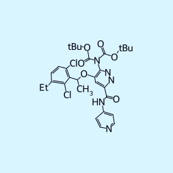 CCc1ccc(Cl)c(C(C)Oc2cc(C(=O)Nc3ccncc3)nnc2N(C(=O)OC(C)(C)C)C(=O)OC(C)(C)C)c1Cl